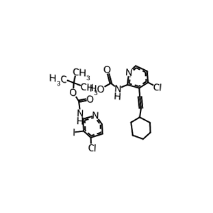 CC(C)(C)OC(=O)Nc1nccc(Cl)c1I.O=C(O)Nc1nccc(Cl)c1C#CC1CCCCC1